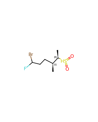 C[C@H]([C@@H](C)CCC(F)Br)[SH](=O)=O